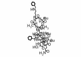 CC[C@H](C)[C@H](NC(=O)[C@@H](Cc1ccccc1)NC)C(=O)N[C@@H](CO)C(=O)N[C@H](CCC(N)=O)C(=O)N[C@@H](C(=O)N[C@H](C(=O)N[C@@H](CO)C(=O)N[C@H]1C(=O)N[C@@H](C)C(=O)N[C@@H](CCCCNCc2ccccc2)C(=O)N[C@@H]([C@@H](C)CC)C(=O)O[C@H]1C)[C@@H](C)CC)[C@@H](C)CC